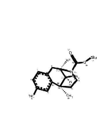 C[C@@H]1[C@H]2Cc3ccc(C#N)cc3[C@]1(C)CCN2C(=O)OC(C)(C)C